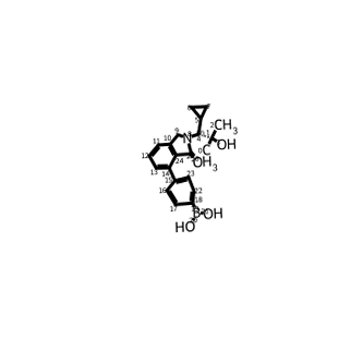 CC(C)(O)[C@@H](C1CC1)N1Cc2cccc(-c3ccc(B(O)O)cc3)c2C1=O